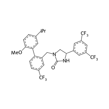 COc1ccc(C(C)C)cc1-c1ccc(C(F)(F)F)cc1CN1CC(c2cc(C(F)(F)F)cc(C(F)(F)F)c2)NC1=O